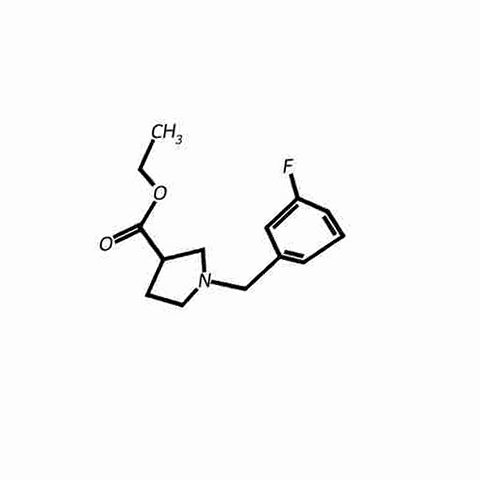 CCOC(=O)C1CCN(Cc2cccc(F)c2)C1